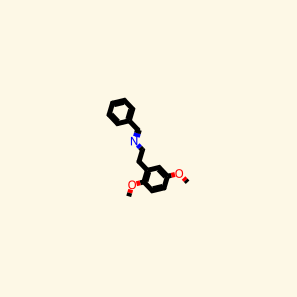 COc1ccc(OC)c(CCN=Cc2ccccc2)c1